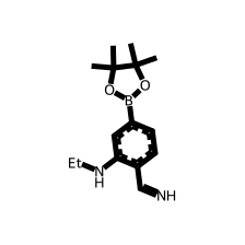 CCNc1cc(B2OC(C)(C)C(C)(C)O2)ccc1C=N